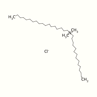 C=CCCCCCCCCCCCCC[N+](C)(C)CCCCCCCCCCCCCCCCCC.[Cl-]